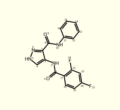 O=C(Nc1c[nH]nc1C(=O)Nc1ccccc1)c1ccc(F)cc1F